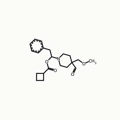 COCC1(C=O)CCN(C(Cc2ccccc2)OC(=O)C2CCC2)CC1